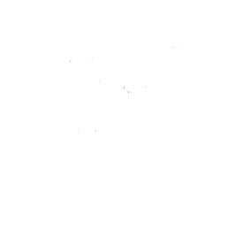 C=CC=CC(=C)CCN(CCSCC)CCSCC